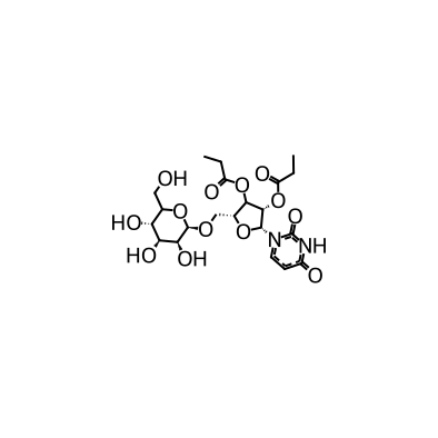 CCC(=O)OC1[C@@H](CO[C@@H]2OC(CO)[C@@H](O)[C@H](O)[C@@H]2O)O[C@@H](n2ccc(=O)[nH]c2=O)[C@H]1OC(=O)CC